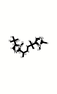 Cc1ncc(C(C)(C)CCC(C)c2ncc(C(C)(C)C)n2C)n1C